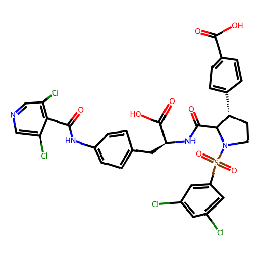 O=C(O)c1ccc([C@@H]2CCN(S(=O)(=O)c3cc(Cl)cc(Cl)c3)C2C(=O)N[C@@H](Cc2ccc(NC(=O)c3c(Cl)cncc3Cl)cc2)C(=O)O)cc1